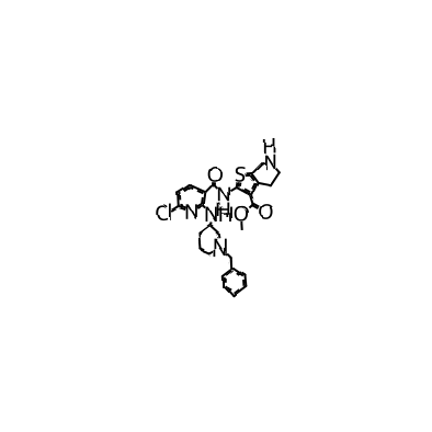 COC(=O)c1c(NC(=O)c2ccc(Cl)nc2NC2CCCN(Cc3ccccc3)C2)sc2c1CCNC2